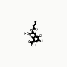 CCCC(=O)NC1Cc2c(Cl)c(Cl)cc(C(=O)O)c2OB1O